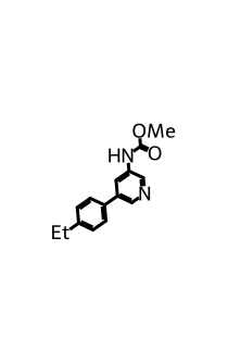 CCc1ccc(-c2cncc(NC(=O)OC)c2)cc1